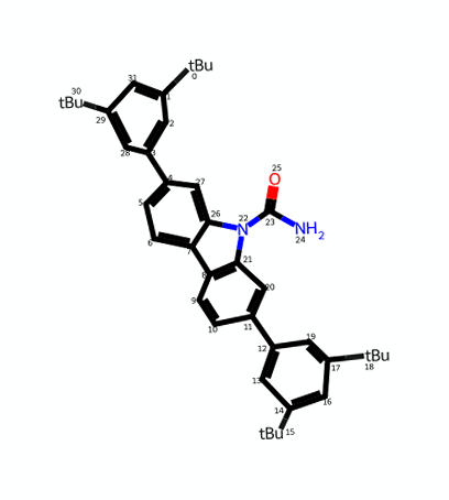 CC(C)(C)c1cc(-c2ccc3c4ccc(-c5cc(C(C)(C)C)cc(C(C)(C)C)c5)cc4n(C(N)=O)c3c2)cc(C(C)(C)C)c1